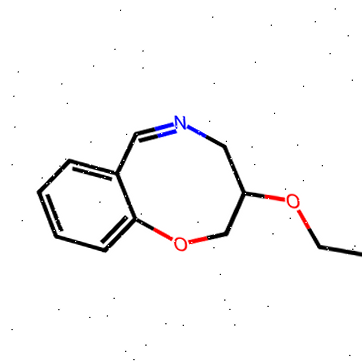 CCCOC1C/N=C\c2ccccc2OC1